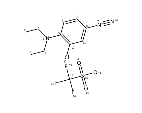 CCN(CC)c1ccc([N+]#N)cc1Cl.O=S(=O)([O-])C(F)(F)F